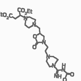 CCOC(=O)CC(C(=O)OCC)N1CCN(CC2CN(CCN3CCN(C(=N)NC(=O)OC(C)(C)C)CC3)C(=O)O2)CC1